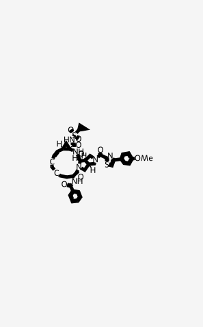 COc1ccc(-c2csc(C(=O)N3C[C@H]4CN5C(=O)[C@@H](NC(=O)c6ccccc6)CCCCC/C=C\[C@H]6C[C@@]6(C(=O)NS(=O)(=O)C6CC6)NC(=O)[C@@H]5[C@H]4C3)n2)cc1